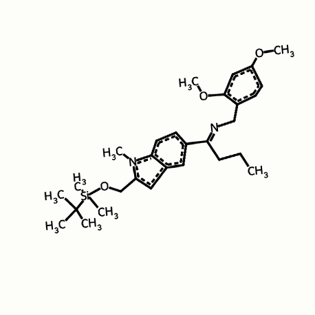 CCCC(=NCc1ccc(OC)cc1OC)c1ccc2c(c1)cc(CO[Si](C)(C)C(C)(C)C)n2C